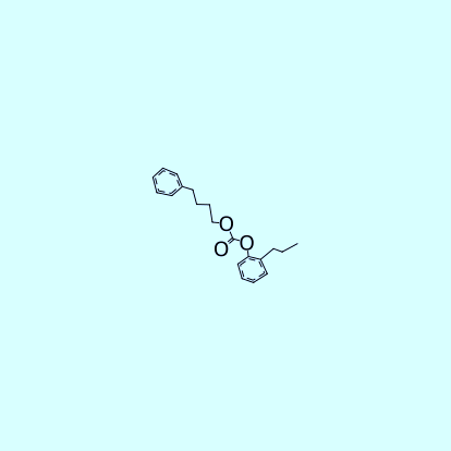 CCCc1ccccc1OC(=O)OCCCCc1ccccc1